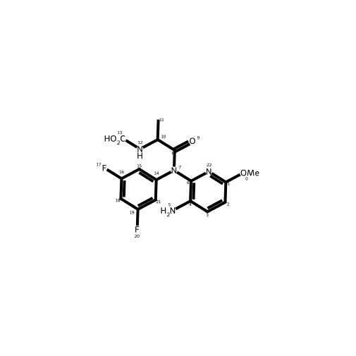 COc1ccc(N)c(N(C(=O)C(C)NC(=O)O)c2cc(F)cc(F)c2)n1